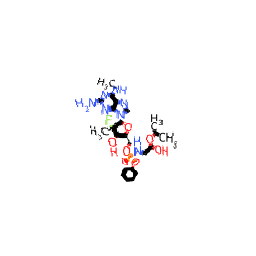 CNc1nc(N)nc2c1ncn2[C@@H]1O[C@H](CO[P@@](=O)(NCC(O)OC(C)C)Oc2ccccc2)[C@@H](O)[C@@]1(C)F